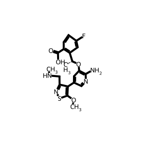 CNCc1nsc(OC)c1-c1cnc(N)c(O[C@H](C)c2cc(F)ccc2C(=O)O)c1